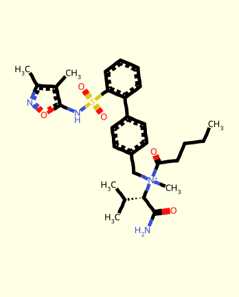 CCCCC(=O)[N+](C)(Cc1ccc(-c2ccccc2S(=O)(=O)Nc2onc(C)c2C)cc1)[C@H](C(N)=O)C(C)C